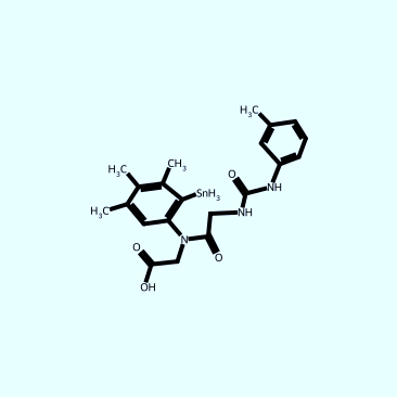 Cc1cccc(NC(=O)NCC(=O)N(CC(=O)O)c2cc(C)c(C)c(C)[c]2[SnH3])c1